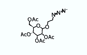 CC(=O)OC[C@H]1OC(OCCN=[N+]=[N-])[C@@H](OC(C)=O)[C@@H](OC(C)=O)[C@@H]1OC(C)=O